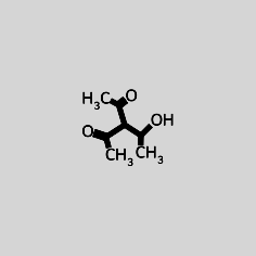 CC(=O)C(C(C)=O)C(C)O